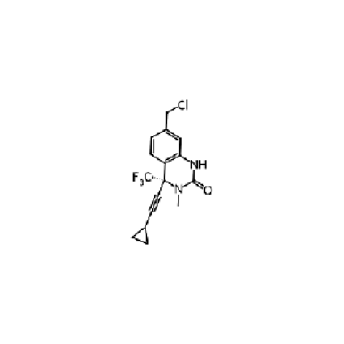 CN1C(=O)Nc2cc(CCl)ccc2[C@@]1(C#CC1CC1)C(F)(F)F